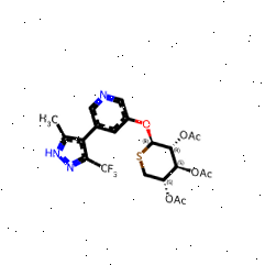 CC(=O)O[C@@H]1[C@@H](OC(C)=O)[C@H](OC(C)=O)CS[C@H]1Oc1cncc(-c2c(C(F)(F)F)n[nH]c2C)c1